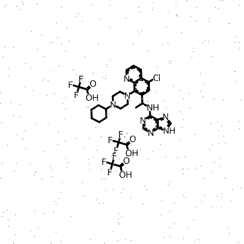 CC(Nc1ncnc2[nH]cnc12)c1cc(Cl)c2cccnc2c1N1CCN(C2CCCCC2)CC1.O=C(O)C(F)(F)F.O=C(O)C(F)(F)F.O=C(O)C(F)(F)F